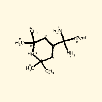 CCCCCC(N)(N)C1CC(C)(C)NC(C)(C)C1